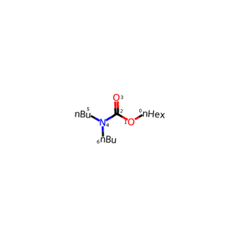 CCCCCCOC(=O)N(CCCC)CCCC